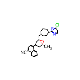 C[C@@H]1CC(c2ccc(C#N)c3ccccc23)C[C@H](CC2CCCC(c3nccc(Cl)n3)CC2)O1